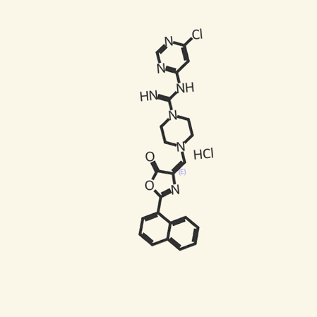 Cl.N=C(Nc1cc(Cl)ncn1)N1CCN(/C=C2/N=C(c3cccc4ccccc34)OC2=O)CC1